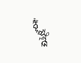 O=C(NCc1ccnnc1)c1cnc2c(c1)CN(Cc1ccc(C(F)(F)F)cc1)C2